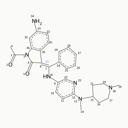 CC(=O)N1C(=O)/C(=C(\Nc2ccc(N(C)C3CCN(C)CC3)nc2)c2ccccc2)c2ccc(N)cc21